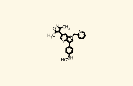 Cc1noc(C)c1-c1cnc2c(-c3ccc(BO)cc3)cn(Cc3ccccn3)c2c1